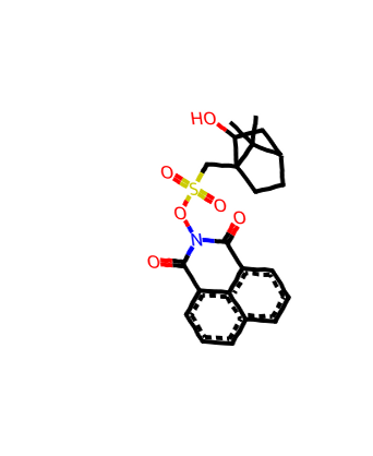 CC1(C)C2CCC1(CS(=O)(=O)ON1C(=O)c3cccc4cccc(c34)C1=O)C(O)C2